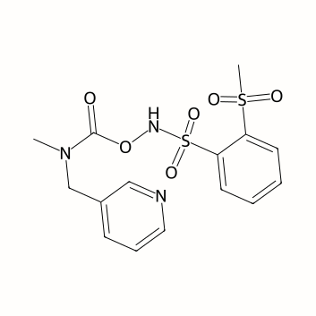 CN(Cc1cccnc1)C(=O)ONS(=O)(=O)c1ccccc1S(C)(=O)=O